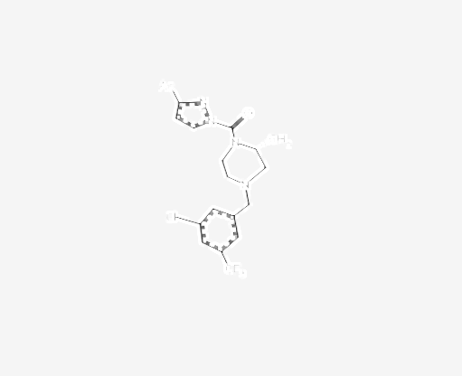 CC(=O)c1ccn(C(=O)N2CCN(Cc3cc(Cl)cc(C(F)(F)F)c3)C[C@H]2C)n1